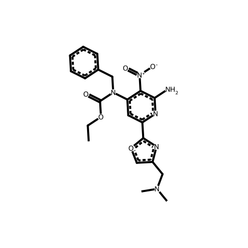 CCOC(=O)N(Cc1ccccc1)c1cc(-c2nc(CN(C)C)co2)nc(N)c1[N+](=O)[O-]